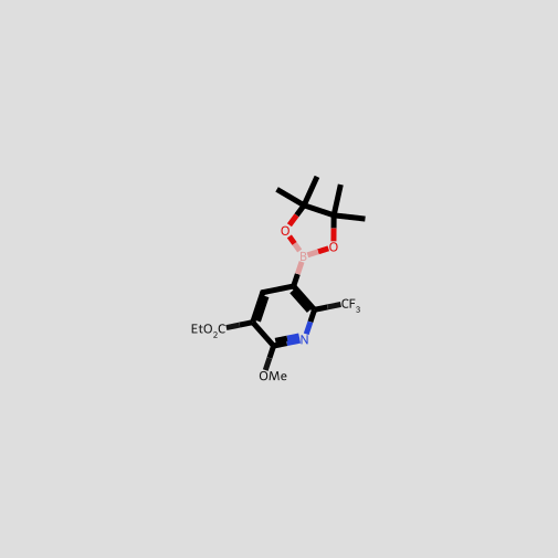 CCOC(=O)c1cc(B2OC(C)(C)C(C)(C)O2)c(C(F)(F)F)nc1OC